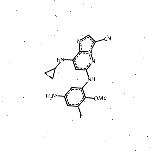 COc1c(F)cc(N)cc1Nc1cc(NC2CC2)c2ncc(C#N)n2n1